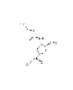 CCCCCCCCCCCOC(=O)N[C@H]1CN(C(=O)OC(C)(C)C)C[C@@H]1OC